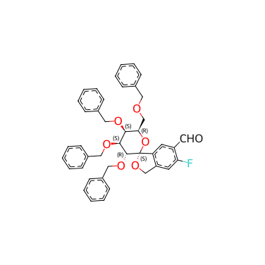 O=Cc1cc2c(cc1F)CO[C@]21O[C@H](COCc2ccccc2)[C@H](OCc2ccccc2)[C@H](OCc2ccccc2)[C@H]1OCc1ccccc1